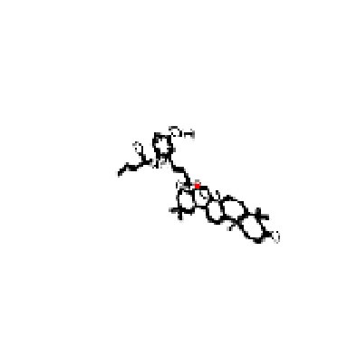 C/C=C/C(=O)Nc1ccc(O)cc1/C=C/C(=O)OC[C@@]12CC[C@@]3(C)CCC(C)(C)CC3C1=CCC1[C@@]3(C)CCC(=O)C(C)(C)C3CC[C@]12C